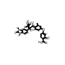 Cc1cc(Oc2ccc(C(=O)O)c(Cl)c2)ccc1[C@H](C)[C@](O)(c1ccc2c(c1)n(C)c(=O)n2C)C(F)(F)F